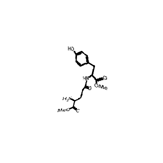 COC(=O)C(N)CCC(=O)NC(Cc1ccc(O)cc1)C(=O)OC